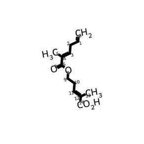 C=CCC=C(C)C(=O)OCCC=C(C)C(=O)O